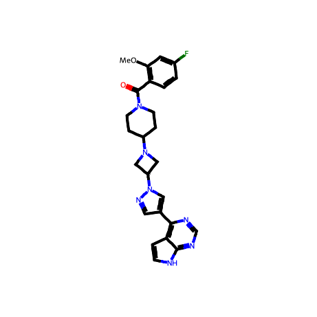 COc1cc(F)ccc1C(=O)N1CCC(N2C[C](n3cc(-c4ncnc5[nH]ccc45)cn3)C2)CC1